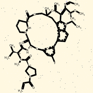 C=CC(=O)N1CC[C@H](C(=O)N(C)[C@H](C(=O)N[C@H]2Cc3cc(F)cc(c3)-c3ccc4c(c3)c(c(/C(C=C)=C(/N=C\C)[C@H](C)OC)n4CC)CC(C)(C)COC(=O)[C@@H]3CCCN(N3)C2=O)C(C)C)C1